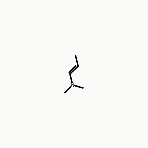 CC=CN(C)C